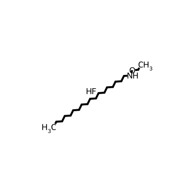 CCCCCCCCCCCCCCCCCCNOCC.F